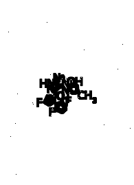 C[C@H]1C[C@@H](O)[C@H](Nc2ncnc3[nH]nc(C(=O)N4C[C@@H](F)C[C@@H]4c4cc(F)ccc4F)c23)C1